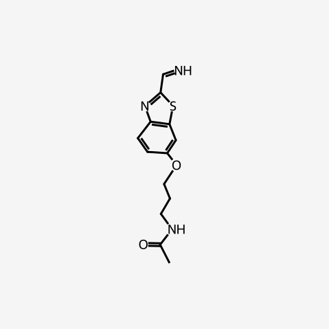 CC(=O)NCCCOc1ccc2nc(C=N)sc2c1